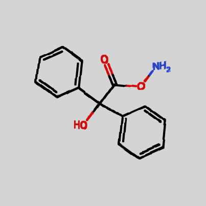 NOC(=O)C(O)(c1ccccc1)c1ccccc1